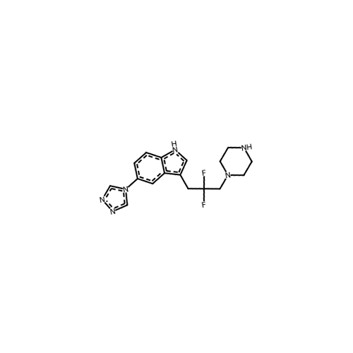 FC(F)(Cc1c[nH]c2ccc(-n3cnnc3)cc12)CN1CCNCC1